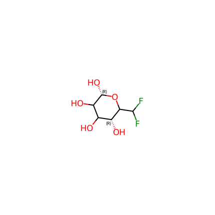 OC1C(O)[C@H](O)OC(C(F)F)[C@@H]1O